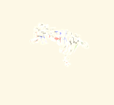 COCCCC[C@@](O)(c1cccc(Cl)c1F)C1CCCN(C(=O)N[C@@H](CC2CCCCC2)C(O)CNC(=O)O)C1